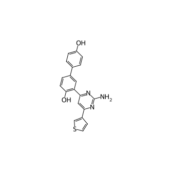 Nc1nc(-c2ccsc2)cc(-c2cc(-c3ccc(O)cc3)ccc2O)n1